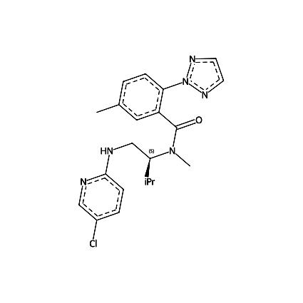 Cc1ccc(-n2nccn2)c(C(=O)N(C)[C@H](CNc2ccc(Cl)cn2)C(C)C)c1